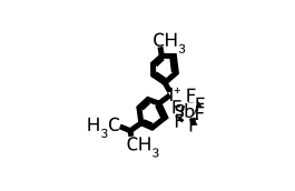 Cc1ccc([I+]c2ccc(C(C)C)cc2)cc1.[F][Sb-]([F])([F])([F])([F])[F]